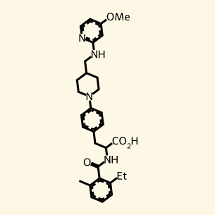 CCc1cccc(C)c1C(=O)NC(Cc1ccc(N2CCC(CNc3cc(OC)ccn3)CC2)cc1)C(=O)O